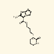 Cc1nc2sccn2c1C(=O)OCCCC[C@H]1CCCNC1=O